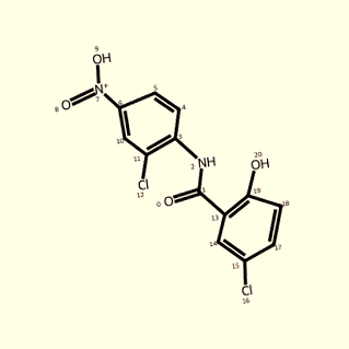 O=C(Nc1ccc([N+](=O)O)cc1Cl)c1cc(Cl)ccc1O